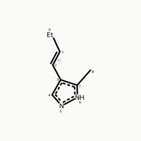 CC/C=C/c1cn[nH]c1C